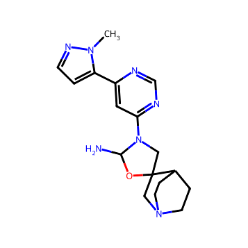 Cn1nccc1-c1cc(N2CC3(CN4CCC3CC4)OC2N)ncn1